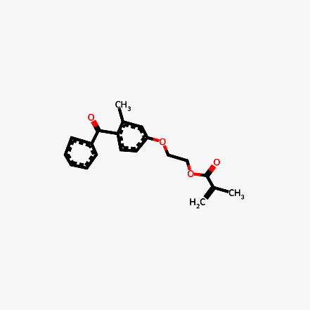 C=C(C)C(=O)OCCOc1ccc(C(=O)c2ccccc2)c(C)c1